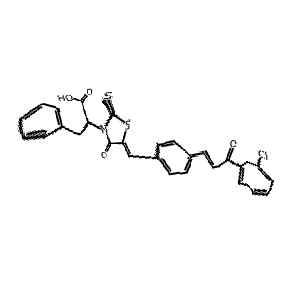 O=C(/C=C/c1ccc(/C=C2\SC(=S)N(C(Cc3ccccc3)C(=O)O)C2=O)cc1)c1ccccc1Cl